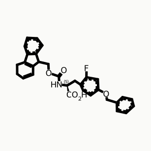 O=C(N[C@@H](Cc1ccc(OCc2ccccc2)cc1F)C(=O)O)OCC1C2=C(CCC=C2)c2ccccc21